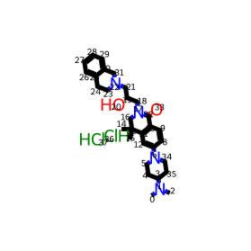 CN(C)C1CCN(c2ccc3c(c2)C(C)(C)CN(C[C@H](O)CN2CCc4ccccc4C2)C3=O)CC1.Cl.Cl